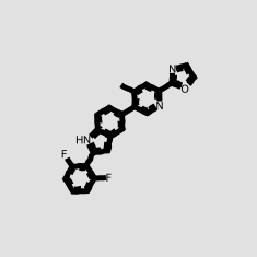 Cc1cc(-c2ncco2)ncc1-c1ccc2[nH]c(-c3c(F)cccc3F)cc2c1